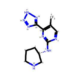 FC(F)(F)c1cnc(N[C@H]2CCCNC2)nc1-c1nn[nH]n1